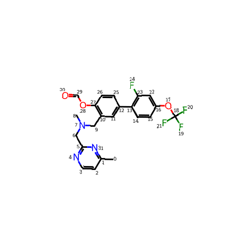 Cc1ccnc(CN(C)Cc2cc(-c3ccc(OC(F)(F)F)cc3F)ccc2OC=O)n1